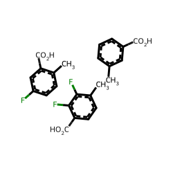 Cc1ccc(C(=O)O)c(F)c1F.Cc1ccc(F)cc1C(=O)O.Cc1cccc(C(=O)O)c1